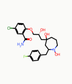 NC(=O)c1cc(Cl)ccc1OC[C@H](O)CC1(O)CCCN(O)C(Cc2ccc(F)cc2)C1